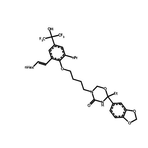 CCCCCC/C=C/c1cc(C(O)(C(F)(F)F)C(F)(F)F)cc(CCC)c1OCCCCN1COC(CC)(c2ccc3c(c2)OCO3)NC1=O